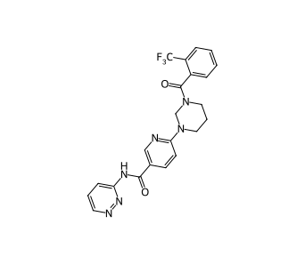 O=C(Nc1cccnn1)c1ccc(N2CCCN(C(=O)c3ccccc3C(F)(F)F)C2)nc1